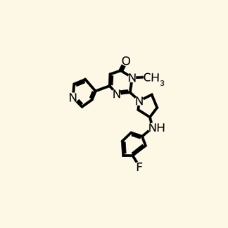 Cn1c(N2CCC(Nc3cccc(F)c3)C2)nc(-c2ccncc2)cc1=O